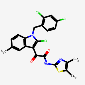 Cc1ccc2c(c1)c(C(=O)C(=O)Nc1nc(C)c(C)s1)c(Cl)n2Cc1ccc(Cl)cc1Cl